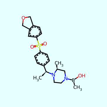 CB(O)N1CCN([C@@H](C)c2ccc(S(=O)(=O)c3ccc4c(c3)COC4)cc2)[C@@H](C)C1